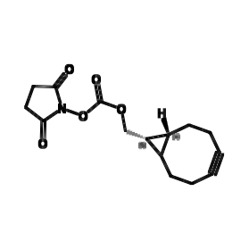 O=C(OC[C@H]1C2CCC#CCC[C@H]21)ON1C(=O)CCC1=O